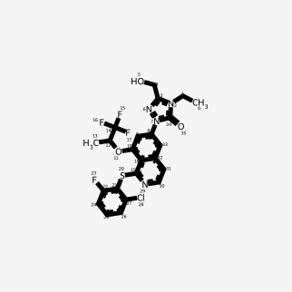 CCn1c(CO)nn(-c2cc(OC(C)C(F)(F)F)c3c(Sc4c(F)cccc4Cl)nccc3c2)c1=O